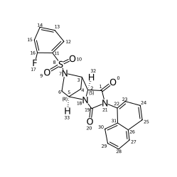 O=C1[C@@H]2C3C[C@H](CN3S(=O)(=O)c3ccccc3F)N2C(=O)N1c1cccc2ccccc12